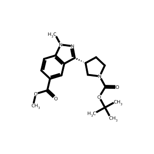 COC(=O)c1ccc2c(c1)c([C@@H]1CCN(C(=O)OC(C)(C)C)C1)nn2C